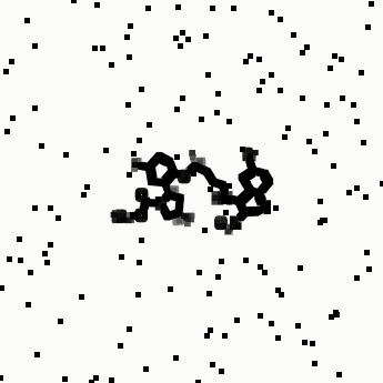 C[C@H](CCCNc1c([N+](=O)[O-])cnc2ccc(Br)cc12)Oc1ccc(F)cc1[C@H]1C[C@H](F)CN1C(=O)OC(C)(C)C